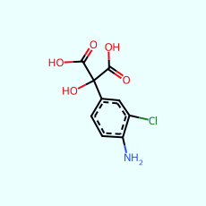 Nc1ccc(C(O)(C(=O)O)C(=O)O)cc1Cl